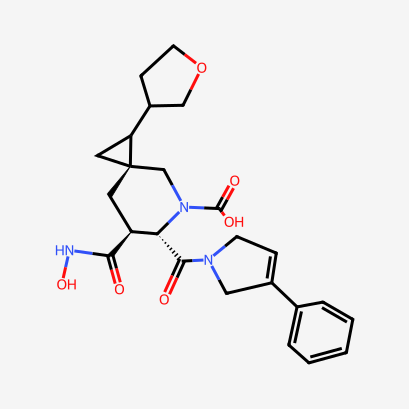 O=C(NO)[C@H]1C[C@]2(CC2C2CCOC2)CN(C(=O)O)[C@@H]1C(=O)N1CC=C(c2ccccc2)C1